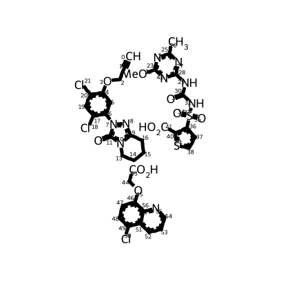 C#CCOc1cc(-n2nc3n(c2=O)CCCC3)c(Cl)cc1Cl.COc1nc(C)nc(NC(=O)NS(=O)(=O)c2ccsc2C(=O)O)n1.O=C(O)COc1ccc(Cl)c2cccnc12